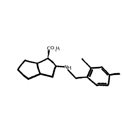 Cc1ccc(CNC2CC3CCCC3[C@H]2C(=O)O)c(C)c1